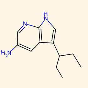 CCC(CC)c1c[nH]c2ncc(N)cc12